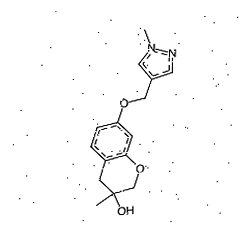 Cn1cc(COc2ccc3c(c2)OCC(C)(O)C3)cn1